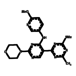 COc1ccc(Nc2nc(N3CCOCC3)ncc2-c2nc(C)nc(SC)n2)cn1